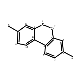 Cc1ccc2c(c1)OSc1cc(C)ccc1-2